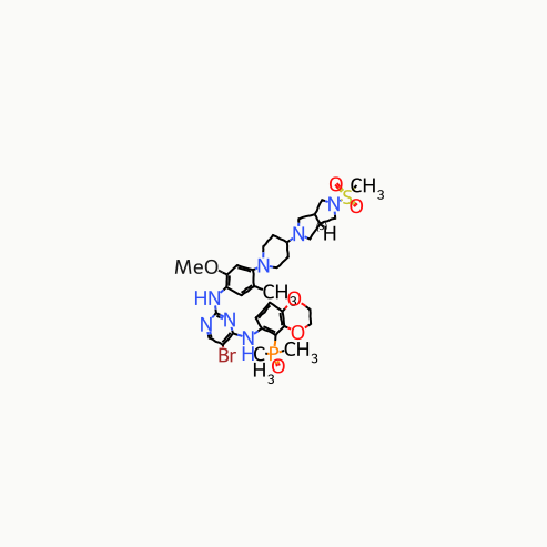 COc1cc(N2CCC(N3CC4CN(S(C)(=O)=O)C[C@@H]4C3)CC2)c(C)cc1Nc1ncc(Br)c(Nc2ccc3c(c2P(C)(C)=O)OCCO3)n1